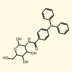 O=C(NC1C(O)OC(CO)C(O)C1O)c1ccc(N(c2ccccc2)c2ccccc2)cc1